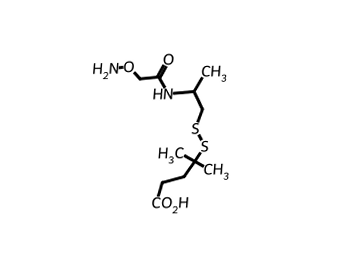 CC(CSSC(C)(C)CCC(=O)O)NC(=O)CON